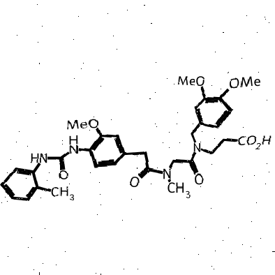 COc1cc(CC(=O)N(C)CC(=O)N(CCC(=O)O)Cc2ccc(OC)c(OC)c2)ccc1NC(=O)Nc1ccccc1C